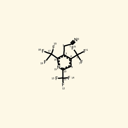 N#CCc1c(C(F)(F)F)cc(C(F)(F)F)nc1C(F)(F)F